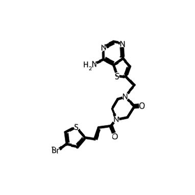 Nc1ncnc2cc(CN3CCN(C(=O)/C=C/c4cc(Br)cs4)CC3=O)sc12